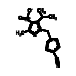 Cc1nn(Cc2ccc(C#N)cc2)c(C(C)C)c1[N+](=O)[O-]